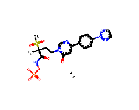 C[C@@](CCn1cnc(-c2ccc(-n3nccn3)cc2)cc1=O)(C(=O)NOP(=O)([O-])[O-])S(C)(=O)=O.[Li+].[Li+]